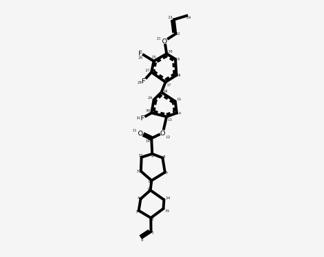 C=CC1CCC(C2CCC(C(=O)Oc3ccc(-c4ccc(O/C=C/C)c(F)c4F)cc3F)CC2)CC1